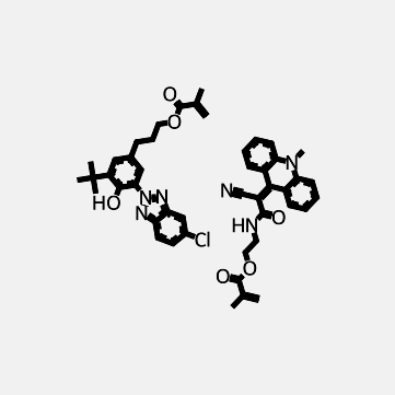 C=C(C)C(=O)OCCCc1cc(-n2nc3ccc(Cl)cc3n2)c(O)c(C(C)(C)C)c1.C=C(C)C(=O)OCCNC(=O)C(C#N)=C1c2ccccc2N(C)c2ccccc21